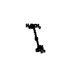 C=CC(=C)NCCCCCCCCCOCCCCCCNC(=C)C=C